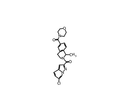 CC1c2ccc(C(=O)N3CCOCC3)cc2CCN1C(=O)c1cc2ccc(Cl)cn2n1